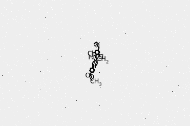 C=C(Nc1c(Cl)cc(CN2CCCC2)cc1Cl)N1CCN(c2ccc(C(=O)OCC)cc2)CC1